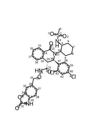 CS(=O)(=O)N[C@H]1CCCCC1N1C(=O)c2ccccc2[C@@H](C(=O)NOCc2ccc3[nH]c(=O)oc3c2)[C@@H]1c1ccc(Cl)cc1Cl